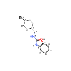 CC[C@H]1CC[C@H](CNc2nc3ccccc3o2)CC1